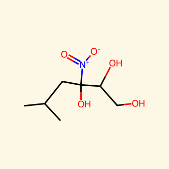 CC(C)CC(O)(C(O)CO)[N+](=O)[O-]